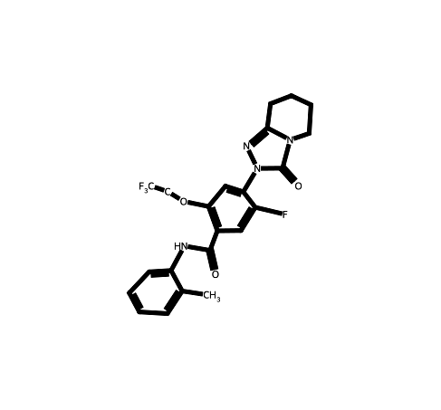 Cc1ccccc1NC(=O)c1cc(F)c(-n2nc3n(c2=O)CCCC3)cc1OCC(F)(F)F